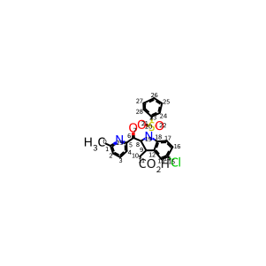 Cc1cccc(C(=O)C2C(CC(=O)O)c3cc(Cl)ccc3N2S(=O)(=O)c2ccccc2)n1